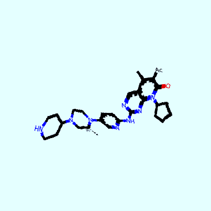 CC(=O)c1c(C)c2cnc(Nc3ccc(N4CCN(C5CCNCC5)C[C@H]4C)cn3)nc2n(C2CCCC2)c1=O